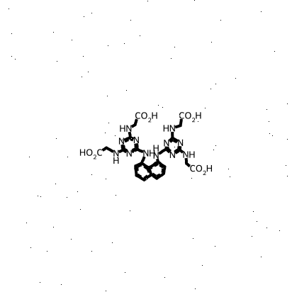 O=C(O)CNc1nc(NCC(=O)O)nc(Nc2cccc3cccc(Nc4nc(NCC(=O)O)nc(NCC(=O)O)n4)c23)n1